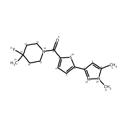 Cc1cc(-c2ccc(C(=O)N3CCC(C)(F)CC3)s2)nn1C